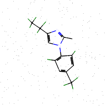 Cc1nc(C(F)(F)C(F)(F)Cl)cn1-c1c(F)cc(C(F)(F)F)cc1Cl